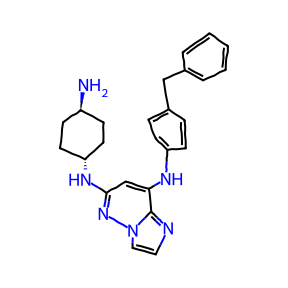 N[C@H]1CC[C@H](Nc2cc(Nc3ccc(Cc4ccccc4)cc3)c3nccn3n2)CC1